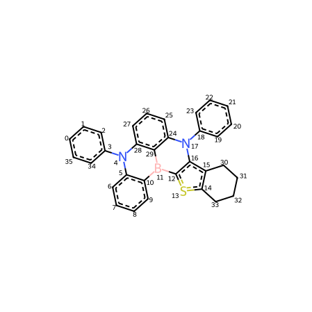 c1ccc(N2c3ccccc3B3c4sc5c(c4N(c4ccccc4)c4cccc2c43)CCCC5)cc1